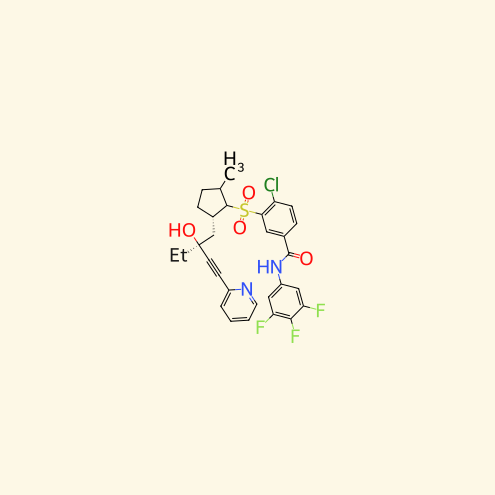 CC[C@@](O)(C#Cc1ccccn1)C[C@@H]1CCC(C)C1S(=O)(=O)c1cc(C(=O)Nc2cc(F)c(F)c(F)c2)ccc1Cl